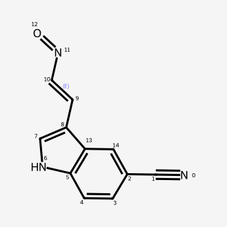 N#Cc1ccc2[nH]cc(/C=C/N=O)c2c1